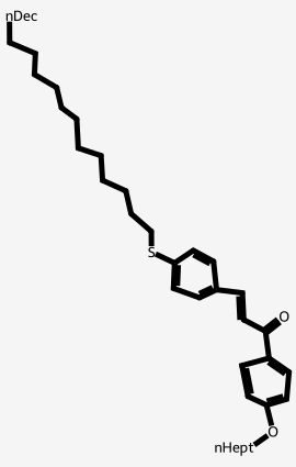 CCCCCCCCCCCCCCCCCCCCCCSc1ccc(C=CC(=O)c2ccc(OCCCCCCC)cc2)cc1